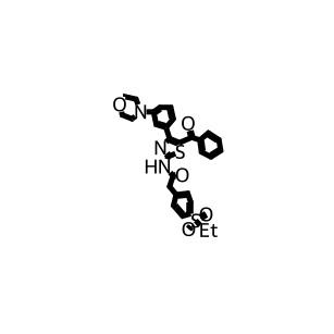 CCS(=O)(=O)c1ccc(CC(=O)Nc2nc(-c3cccc(N4CCOCC4)c3)c(C(=O)c3ccccc3)s2)cc1